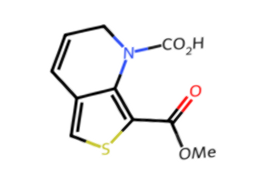 COC(=O)c1scc2c1N(C(=O)O)CC=C2